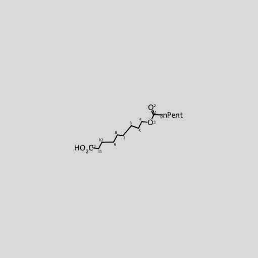 CCCCCC(=O)OCCCCCCCCC(=O)O